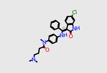 CN(C)CCCC(=O)N(C)c1ccc(N/C(=C2\C(=O)Nc3cc(Cl)ccc32)c2ccccc2)cc1